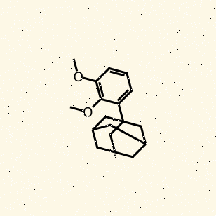 COc1cccc(C23C[C]4CC(CC(C4)C2)C3)c1OC